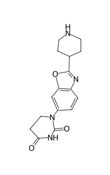 O=C1CCN(c2ccc3nc(C4CCNCC4)oc3c2)C(=O)N1